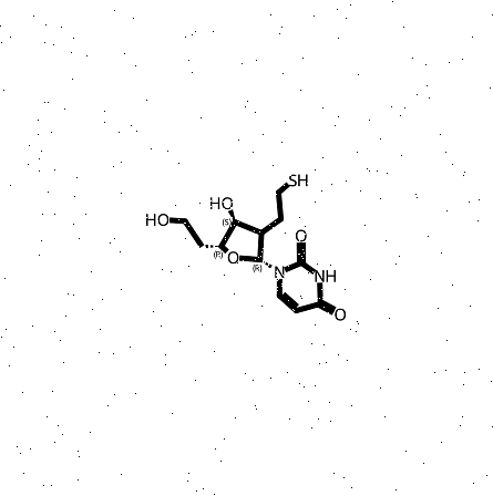 O=c1ccn([C@@H]2O[C@H](CCO)[C@@H](O)C2CCS)c(=O)[nH]1